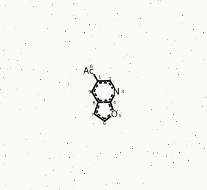 CC(=O)c1cnc2occc2c1